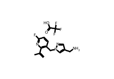 C=C(C)c1nc(F)ccc1Cn1cc(CN)cn1.O=C(O)C(F)(F)F